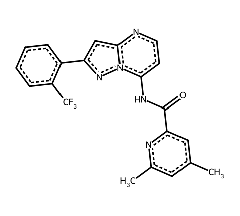 Cc1cc(C)nc(C(=O)Nc2ccnc3cc(-c4ccccc4C(F)(F)F)nn23)c1